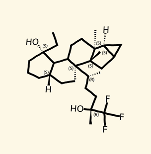 CC[C@]1(O)CCC[C@H]2CC[C@]3([C@H](C)CC[C@@](C)(O)C(F)(F)F)C(CC[C@@]4(C)[C@H]5CC5C[C@@]43C)C21